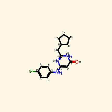 O=c1cc(Nc2ccc(F)cc2)nc(CC2CCCC2)[nH]1